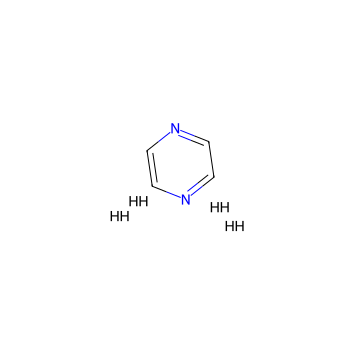 [HH].[HH].[HH].[HH].c1cnccn1